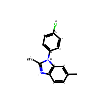 CCCc1nc2ccc(C)cc2n1-c1ccc(Cl)cc1